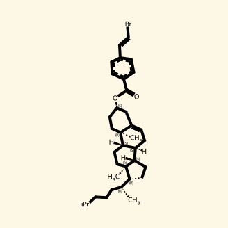 CC(C)CCC[C@@H](C)[C@H]1CC[C@H]2[C@@H]3CC=C4C[C@@H](OC(=O)c5ccc(C=CBr)cc5)CC[C@]4(C)[C@H]3CC[C@]12C